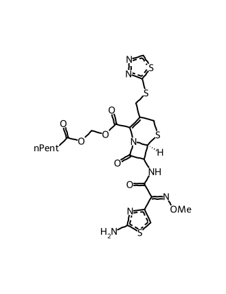 CCCCCC(=O)OCOC(=O)C1=C(CSc2nncs2)CS[C@H]2C(NC(=O)C(=NOC)c3csc(N)n3)C(=O)N12